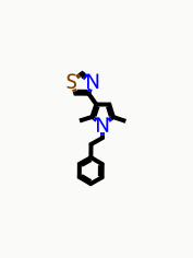 Cc1cc(-c2cscn2)c(C)n1CCc1ccccc1